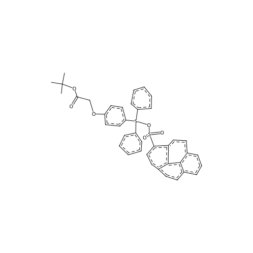 CC(C)(C)OC(=O)COc1ccc(S(OS(=O)(=O)c2ccc3ccc4cccc5ccc2c3c45)(c2ccccc2)c2ccccc2)cc1